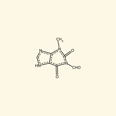 Cn1c(=O)n(C=O)c(=O)c2[nH]cnc21